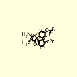 CCCc1cccc([C@@]2(C3C=CC(OC(F)F)=CC3)N=C(N)N(C)C2=O)c1